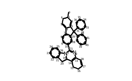 CC1C=C2C(=CC1)c1ccc(C3=NC4=C(CCC=C4)C4Cc5ccccc5N34)cc1C2(c1ccccc1)c1ccccc1